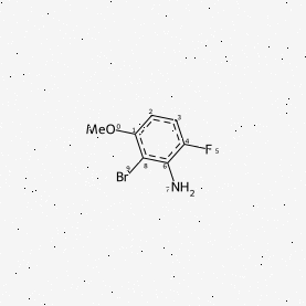 COc1ccc(F)c(N)c1Br